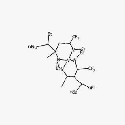 CCCCC(CCC)C1C(C)N(CC)[N+]2(N(CC)C(C(F)(F)F)CC(C)(C(CC)CCCC)N2CC)N(CC)C1C(F)(F)F